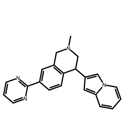 CN1Cc2cc(-c3ncccn3)ccc2C(c2cc3ccccn3c2)C1